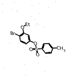 CCOc1cc(OS(=O)(=O)c2ccc(C)cc2)ccc1Br